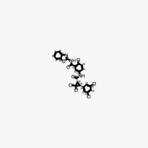 O=C(Nc1nc2ccccc2o1)c1cc(NC(=O)[C@@H]2[C@@H](c3cc(Cl)cc(Cl)c3)C2(Cl)Cl)ccc1Cl